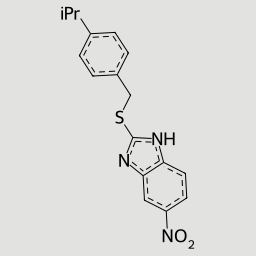 CC(C)c1ccc(CSc2nc3cc([N+](=O)[O-])ccc3[nH]2)cc1